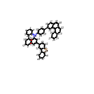 c1ccc(-c2ccccc2N(c2ccc(-c3ccc4ccc5ccc6ccccc6c5c4c3)cc2)c2cccc(-c3ccc4sc5ccccc5c4c3)c2)cc1